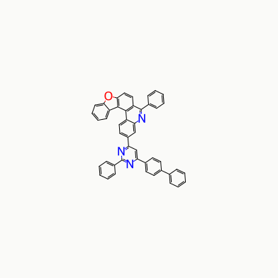 c1ccc(-c2ccc(-c3cc(-c4ccc5c(c4)nc(-c4ccccc4)c4ccc6oc7ccccc7c6c45)nc(-c4ccccc4)n3)cc2)cc1